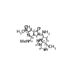 C\C=C(/C=C\C=C(/N)N1Cc2c(cc(N(C)C)nc2CNC)C1=O)c1nncn1CC(C)C